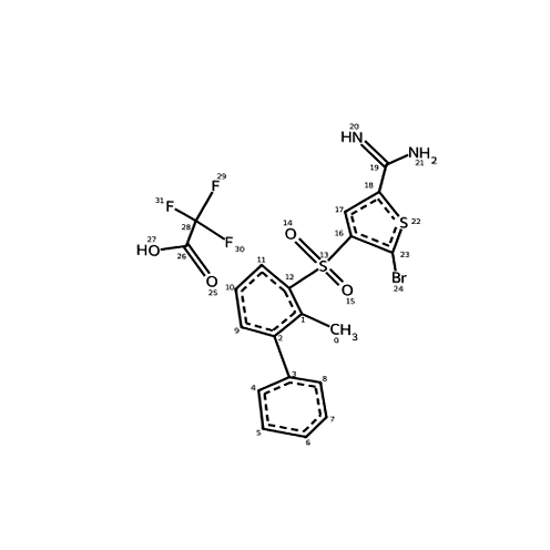 Cc1c(-c2ccccc2)cccc1S(=O)(=O)c1cc(C(=N)N)sc1Br.O=C(O)C(F)(F)F